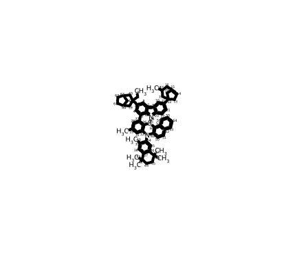 CCC1(c2cc3c4c(c2)c2cc(C56CC=C(CC(C)C5)C6)ccc2n4B2c4c-3cc(C)cc4N(c3cc4c(cc3C)C(C)(C)CCC4(C)C)c3ccc4ccccc4c32)CC2CCC(C2)C1